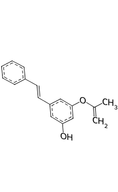 C=C(C)Oc1cc(O)cc(/C=C/c2ccccc2)c1